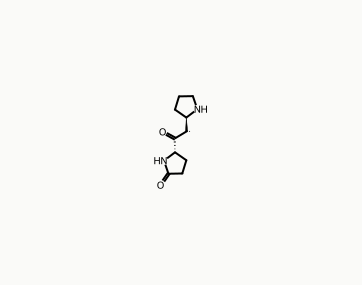 O=C1CC[C@@H](C(=O)[CH][C@H]2CCCN2)N1